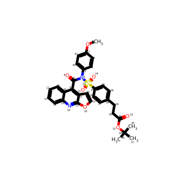 COc1ccc(N(C(=O)c2c3ccccc3nc3occc23)S(=O)(=O)c2ccc(CCC(=O)OC(C)(C)C)cc2)cc1